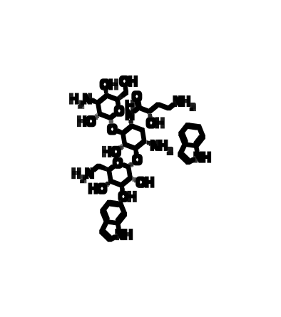 NCC[C@H](O)C(=O)N[C@@H]1C[C@H](N)[C@@H](O[C@H]2O[C@H](CN)[C@@H](O)[C@H](O)[C@H]2O)[C@H](O)[C@H]1O[C@H]1O[C@H](CO)[C@@H](O)[C@H](N)[C@H]1O.c1ccc2[nH]ccc2c1.c1ccc2[nH]ccc2c1